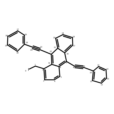 ICc1cccc2c(C#Cc3ccccc3)c3ccccc3c(C#Cc3ccccc3)c12